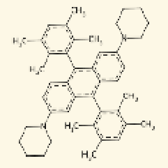 Cc1cc(C)c(C)c(-c2c3ccc(N4CCCCC4)cc3c(-c3c(C)c(C)cc(C)c3C)c3ccc(N4CCCCC4)cc23)c1C